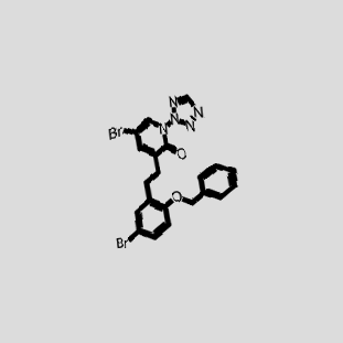 O=c1c(CCc2cc(Br)ccc2OCc2ccccc2)cc(Br)cn1-n1ncnn1